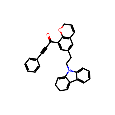 O=C(C#Cc1ccccc1)c1cc(CCn2c3c(c4ccccc42)=CCCC=3)cc2c1OCC=C2